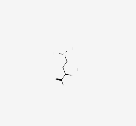 CN(C)CCC(F)C(=O)O.Cl